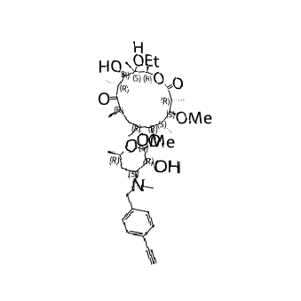 C#Cc1ccc(CN(C)[C@H]2C[C@@H](C)O[C@@H](O[C@@H]3[C@@H](C)[C@H](OC)[C@@H](C)C(=O)O[C@H](CC)[C@@](C)(O)[C@H](O)[C@@H](C)C(=O)[C@H](C)C[C@@]3(C)OC)[C@@H]2O)cc1